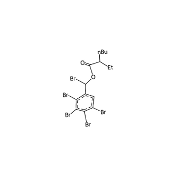 CCCCC(CC)C(=O)OC(Br)c1cc(Br)c(Br)c(Br)c1Br